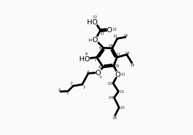 CCCCCOc1c(O)c(OC(=O)O)c(CC)c(CC)c1OCCCCC